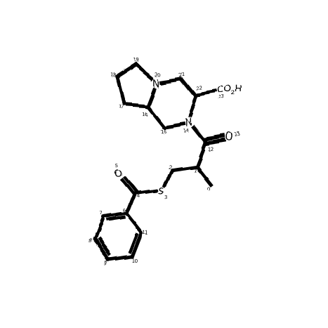 CC(CSC(=O)c1ccccc1)C(=O)N1CC2CCCN2CC1C(=O)O